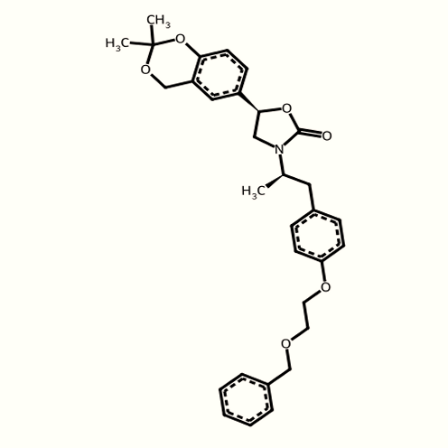 C[C@H](Cc1ccc(OCCOCc2ccccc2)cc1)N1C[C@@H](c2ccc3c(c2)COC(C)(C)O3)OC1=O